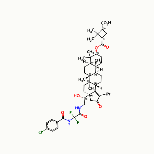 CC(C)C1=C2[C@H]3CC[C@@H]4[C@@]5(C)CC[C@H](OC(=O)[C@H]6C[C@@H](C(=O)O)C6(C)C)C(C)(C)[C@@H]5CC[C@@]4(C)[C@]3(C)CC[C@@]2([C@@H](O)CNC(=O)C(F)(F)NC(=O)c2ccc(Cl)cc2)CC1=O